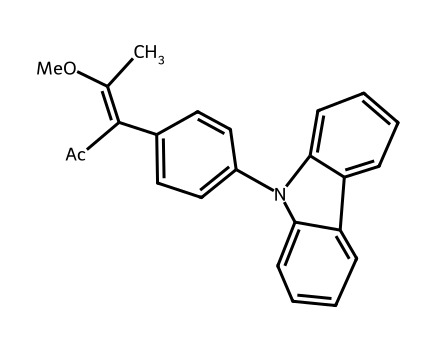 CO/C(C)=C(\C(C)=O)c1ccc(-n2c3ccccc3c3ccccc32)cc1